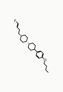 CCCCOc1ccc(C2CCC([C@H]3CC[C@H](CC/C=C/F)CC3)CC2)cc1